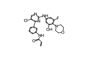 C=CC(=O)Nc1cccc(-c2nc(Nc3cc(O)c(N4CCOCC4)c(F)c3)ncc2Cl)c1